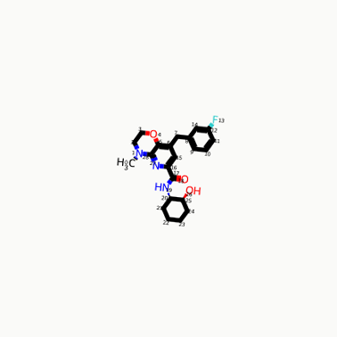 CN1CCOc2c(Cc3cccc(F)c3)cc(C(=O)N[C@H]3CCCC[C@@H]3O)nc21